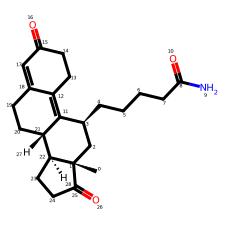 C[C@]12C[C@H](CCCCC(N)=O)C3=C4CCC(=O)C=C4CC[C@H]3[C@@H]1CCC2=O